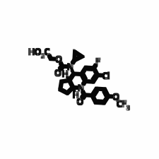 O=C(O)COC(=O)N(C1CC1)[C@H]1c2cc(F)c(Cl)cc2N(C(=O)c2ccc(OC(F)(F)F)cc2)[C@@H]2CCC[C@@H]21